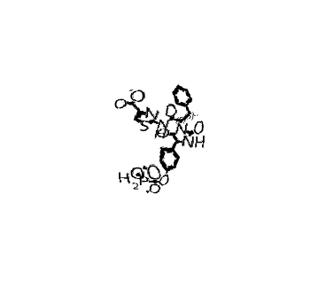 COC(=O)c1csc(NC(=O)[C@H]([C@@H](C)c2ccccc2)N2C(=O)NC(c3ccc(OC(OC)(OC)[PH2]=O)cc3)C2=O)n1